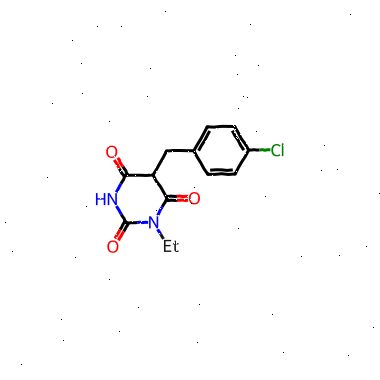 CCN1C(=O)NC(=O)C(Cc2ccc(Cl)cc2)C1=O